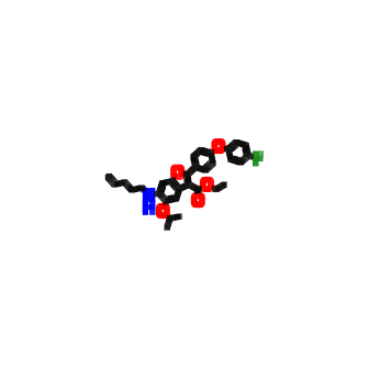 C=CCCCNc1cc2oc(-c3ccc(Oc4ccc(F)cc4)cc3)c(C(=O)OCC)c2cc1OC(C)C